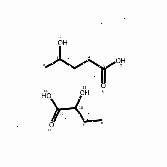 CC(O)CCC(=O)O.CCC(O)C(=O)O